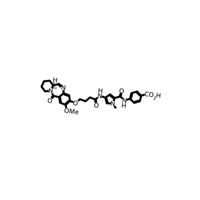 COc1cc2c(cc1OCCCC(=O)Nc1cc(C(=O)Nc3ccc(C(=O)O)cc3)n(C)c1)N=C[C@@H]1CCCCN1C2=O